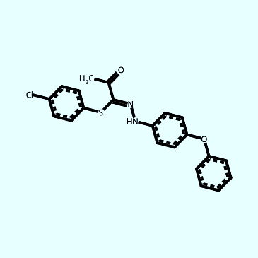 CC(=O)C(=NNc1ccc(Oc2ccccc2)cc1)Sc1ccc(Cl)cc1